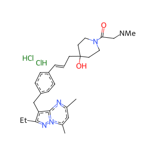 CCc1nn2c(C)cc(C)nc2c1Cc1ccc(C=CCC2(O)CCN(C(=O)CNC)CC2)cc1.Cl.Cl